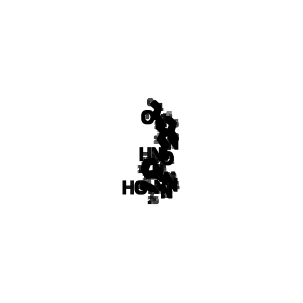 CCC(=O)N1CCc2cnc(C(=O)Nc3cccc(-c4nnnn4[C@H](C)CO)n3)cc2C1